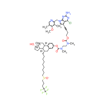 COc1c(C)cnc(Cn2cc(C#CCCOC(=O)N(C)CCN(C)C(=O)Oc3ccc4c(c3)C[C@@H](CCCCCCCCC[S+]([O-])CCCC(F)(F)C(F)(F)F)[C@H]3[C@H]5CC[C@H](O)[C@@]5(C)CC[C@@H]43)c3c(Cl)nc(N)nc32)c1C